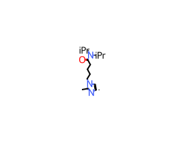 Cc1n[c]cn1CCCCC(=O)N(C(C)C)C(C)C